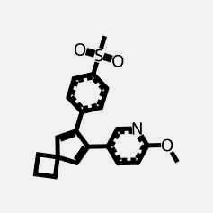 COc1ccc(C2=CC3(C=C2c2ccc(S(C)(=O)=O)cc2)CCC3)cn1